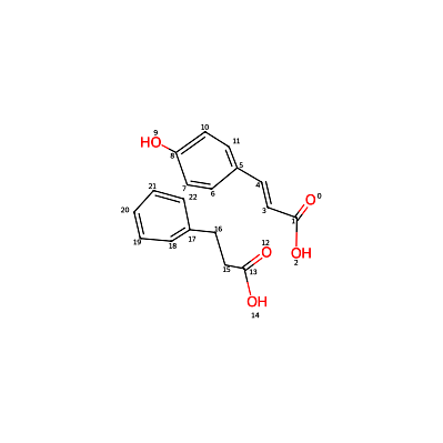 O=C(O)C=Cc1ccc(O)cc1.O=C(O)CCc1ccccc1